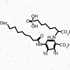 NC(CCCCCP(=O)(O)O)C(=O)O.[2H]c1c(NC(=O)CCCCCCCCCCCCCCCCC)ccc(C(=O)O)c1[2H]